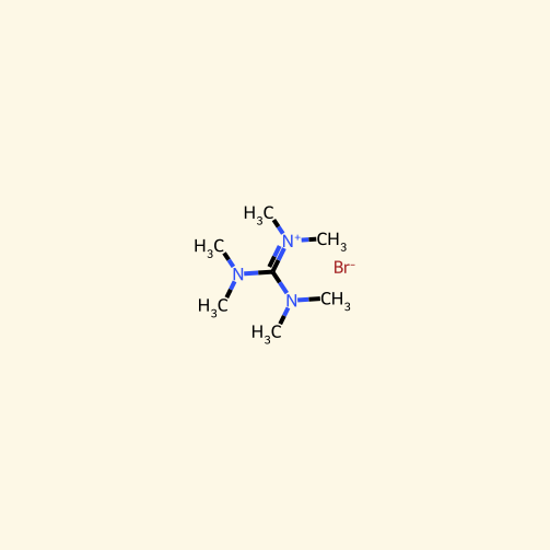 CN(C)C(N(C)C)=[N+](C)C.[Br-]